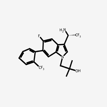 CC(C)(O)Cn1cc([C@H](N)C(F)(F)F)c2cc(F)c(-c3ccccc3C(F)(F)F)cc21